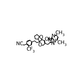 Cc1cc(C)n2nc(CC3=C(O)C(=O)C(CCc4ccc(CC#N)c(C(F)(F)F)c4)(C4CCCC4)OC3)nc2n1